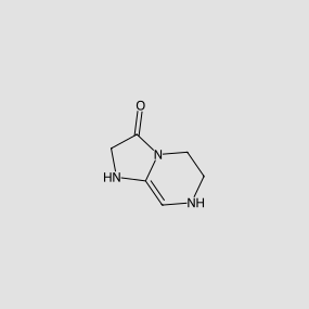 O=C1CNC2=CNCCN12